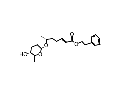 C[C@H](CC/C=C/C(=O)OCCc1ccccc1)O[C@H]1CC[C@@H](O)[C@H](C)O1